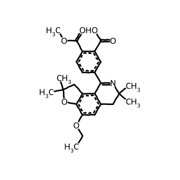 CCOc1cc2c(c3c1OC(C)(C)C3)C(c1ccc(C(=O)OC)c(C(=O)O)c1)=NC(C)(C)C2